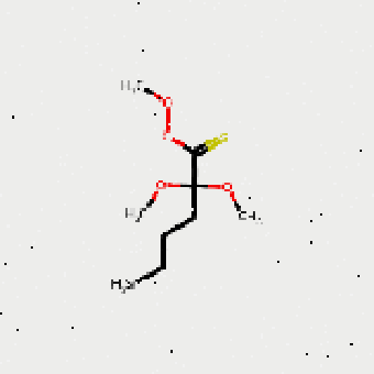 COOC(=S)C(CCC[SiH3])(OC)OC